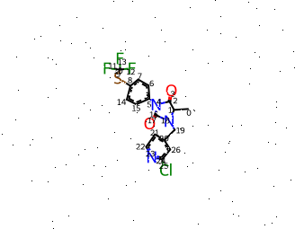 CC1C(=O)N(c2ccc(SC(F)(F)F)cc2)C(=O)N1Cc1ccnc(Cl)c1